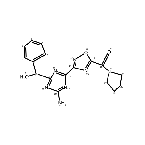 CN(c1ccccc1)c1nc(N)nc(-c2noc(C(=O)N3CCCC3)n2)n1